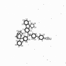 CC(C)(C)c1ccc(-c2ccc(N(c3ccc4c(c3)C3(CCCC3)c3ccccc3-4)c3ccc4c(c3)C3(c5ccccc5-4)C4CC5CC(C4)CC3C5)cc2)cc1